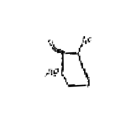 CC(=O)C1CCCCC1=O.[Ag]